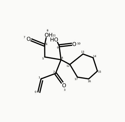 C=CC(=O)C(CC(=O)O)(C(=O)O)C1CCCCC1